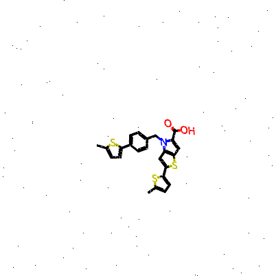 Cc1ccc(-c2ccc(Cn3c(C(=O)O)cc4sc(-c5ccc(C)s5)cc43)cc2)s1